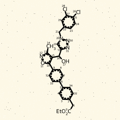 CCOC(=O)Cc1ccc(-c2ccc(-c3onc(C)c3C(O)c3cn(Cc4ccc(Cl)c(Cl)c4)nn3)cc2)cc1